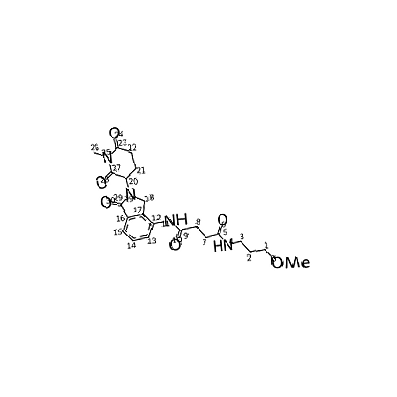 COCCCNC(=O)CCC(=O)Nc1cccc2c1CN(C1CCC(=O)N(C)C1=O)C2=O